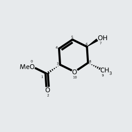 COC(=O)[C@@H]1C=C[C@@H](O)[C@H](C)O1